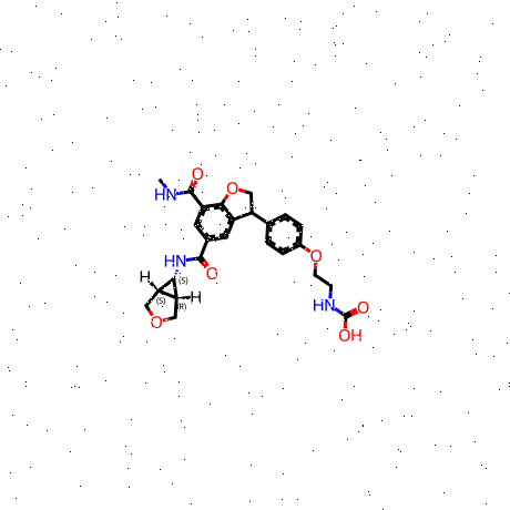 CNC(=O)c1cc(C(=O)N[C@@H]2[C@@H]3COC[C@@H]32)cc2c1OCC2c1ccc(OCCNC(=O)O)cc1